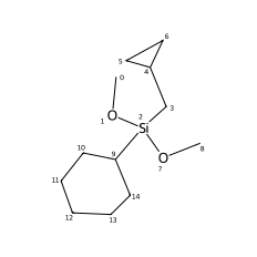 CO[Si](CC1CC1)(OC)C1CCCCC1